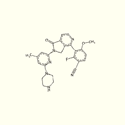 COc1ccc(C#N)c(F)c1-c1nccc2c1CN(c1cc(C)cc(N3CCNCC3)n1)C2=O